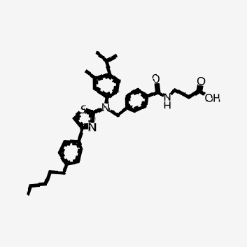 CCCCCc1ccc(-c2csc(N(Cc3ccc(C(=O)NCCC(=O)O)cc3)c3ccc(C(C)C)c(C)c3)n2)cc1